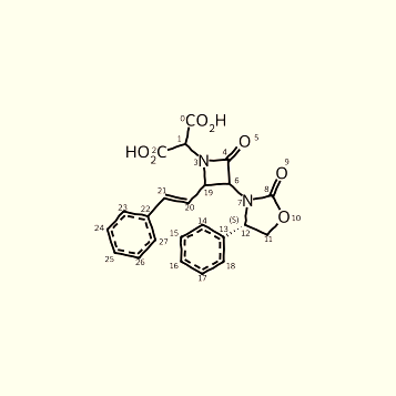 O=C(O)C(C(=O)O)N1C(=O)C(N2C(=O)OC[C@@H]2c2ccccc2)C1C=Cc1ccccc1